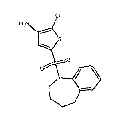 Nc1cc(S(=O)(=O)N2CCCCc3ccccc32)sc1Cl